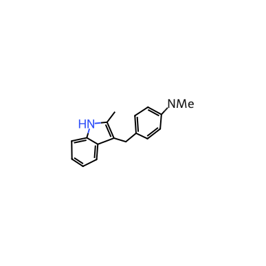 CNc1ccc(Cc2c(C)[nH]c3ccccc23)cc1